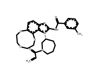 C=CC(=O)N1CCCC[C@@H](n2c(NC(=O)c3cccc(C)c3)nc3ccc4c(c32)OCCOCCO4)C1